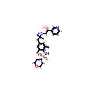 Cc1cc(CC(C)(C)NC[C@@H](O)c2cccnc2)cc(C)c1NS(=O)(=O)N1CCOCC1